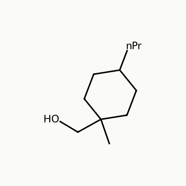 CCCC1CCC(C)(CO)CC1